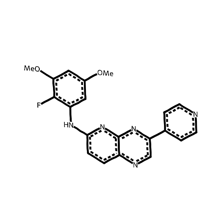 COc1cc(Nc2ccc3ncc(-c4ccncc4)nc3n2)c(F)c(OC)c1